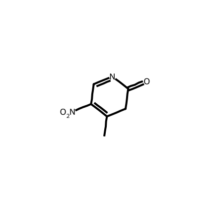 CC1=C([N+](=O)[O-])C=NC(=O)C1